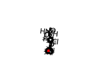 CS(=N)(=O)NC(=O)c1cc(Cl)c(OCC23CC4CC(CC(C4)C2)C3)cc1F